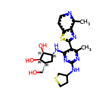 Cc1nc(NC2CCSC2)nc(N[C@@H]2C[C@H](CO)[C@@H](O)[C@H]2O)c1-c1nc2c(C)nccc2s1